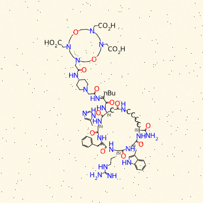 CCCC[C@H](NC(=O)CN1CCC(NC(=O)CN2CCOCCN(CC(=O)O)CCN(CC(=O)O)CCOCCN(CC(=O)O)CC2)CC1)C(=O)N[C@H]1CC(=O)NCCCC[C@@H](C(N)=O)NC(=O)[C@H](Cc2c[nH]c3ccccc23)NC(=O)[C@H](CCCNC(=N)N)NC(=O)[C@@H](Cc2ccccc2)NC(=O)[C@H](Cc2cnc[nH]2)NC1=O